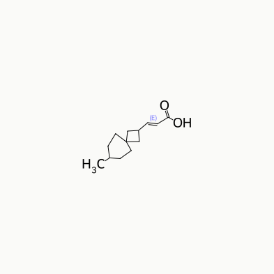 CC1CCC2(CC1)CC(/C=C/C(=O)O)C2